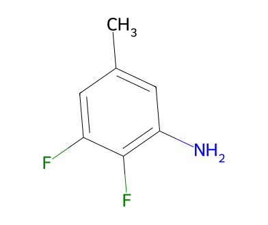 Cc1cc(N)c(F)c(F)c1